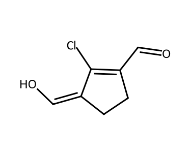 O=CC1=C(Cl)C(=CO)CC1